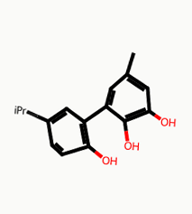 Cc1cc(O)c(O)c(-c2cc(C(C)C)ccc2O)c1